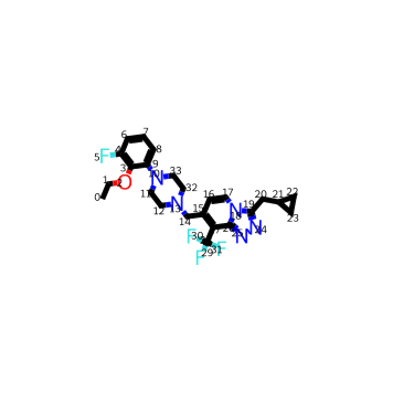 CCOc1c(F)cccc1N1CCN(Cc2ccn3c(CC4CC4)nnc3c2C(F)(F)F)CC1